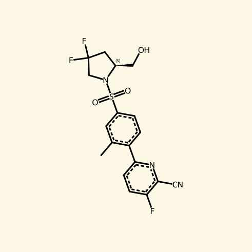 Cc1cc(S(=O)(=O)N2CC(F)(F)C[C@H]2CO)ccc1-c1ccc(F)c(C#N)n1